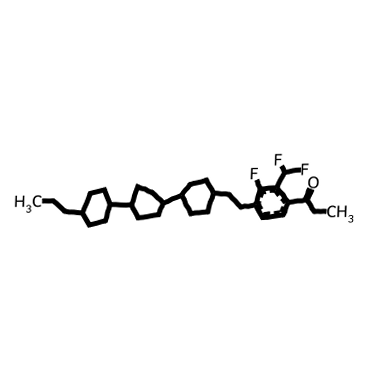 CCCC1CCC(C2CCC(C3CCC(CCc4ccc(C(=O)CC)c(C(F)F)c4F)CC3)CC2)CC1